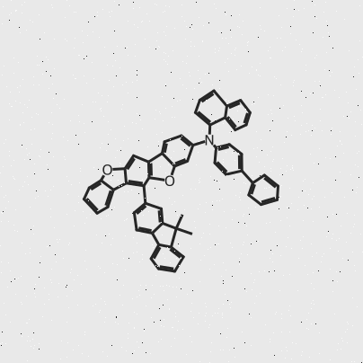 CC1(C)c2ccccc2-c2ccc(-c3c4oc5cc(N(c6ccc(-c7ccccc7)cc6)c6cccc7ccccc67)ccc5c4cc4oc5ccccc5c34)cc21